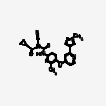 Cc1nc(NC(=O)N(C#N)C(=O)C2CC2)ccc1Oc1ccnc(-c2cnn(C)c2)c1